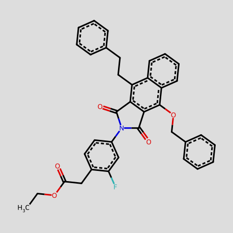 CCOC(=O)Cc1ccc(N2C(=O)c3c(c(OCc4ccccc4)c4ccccc4c3CCc3ccccc3)C2=O)cc1F